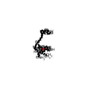 CN(C)CC[C@@H](NC(=O)C(CCC(N)=O)NC(=O)[C@@H]1CC[C@@H]2CCN(C(=O)CCCCCC#Cc3cccc4c3CN(C3CCC(=O)NC3=O)C4=O)C[C@H](NC(=O)c3cc4cc(C(F)(F)P(=O)(O)O)ccc4s3)C(=O)N21)c1ccccc1